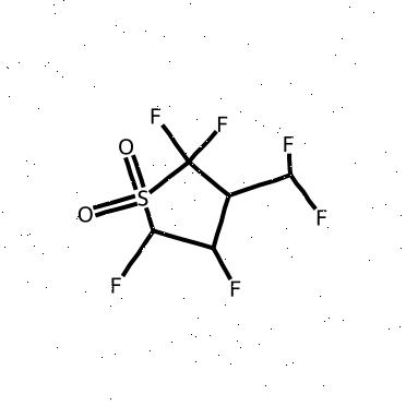 O=S1(=O)C(F)C(F)C(C(F)F)C1(F)F